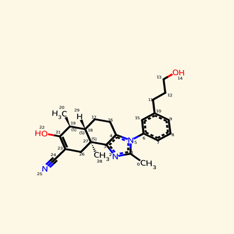 Cc1nc2c(n1-c1cccc(CCCO)c1)CC[C@H]1[C@H](C)C(O)=C(C#N)C[C@]21C